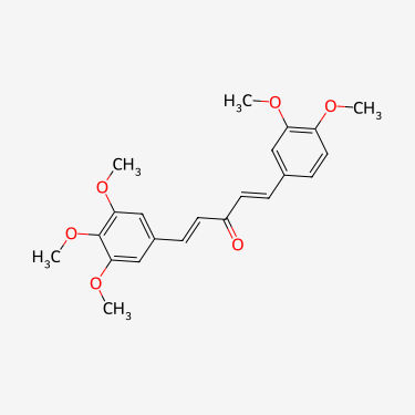 COc1ccc(C=CC(=O)C=Cc2cc(OC)c(OC)c(OC)c2)cc1OC